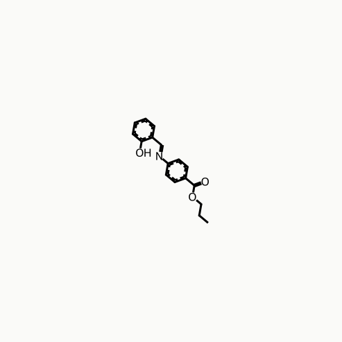 CCCOC(=O)c1ccc(N=Cc2ccccc2O)cc1